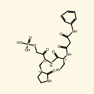 CC(C)C[C@H](NC(=O)CC(=O)Nc1ccccc1)C(=O)N[C@@H](C[C@@H]1CCNC1=O)C(=O)COP(=O)(O)O